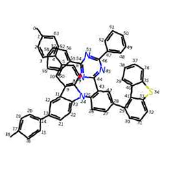 Cc1ccc(-c2ccc3c(c2)c2cc(-c4ccc(C)cc4)ccc2n3-c2ccc(-c3cccc4sc5ccccc5c34)cc2-c2nc(-c3ccccc3)nc(-c3ccccc3)n2)cc1